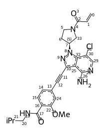 C=CC(=O)N1CC[C@H](n2nc(C#Cc3ccc(C(=O)NCC(C)C)c(OC)c3)c3c(N)ncc(Cl)c32)C1